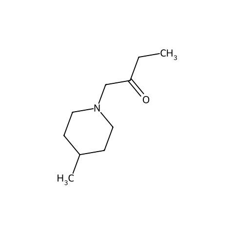 CCC(=O)CN1CCC(C)CC1